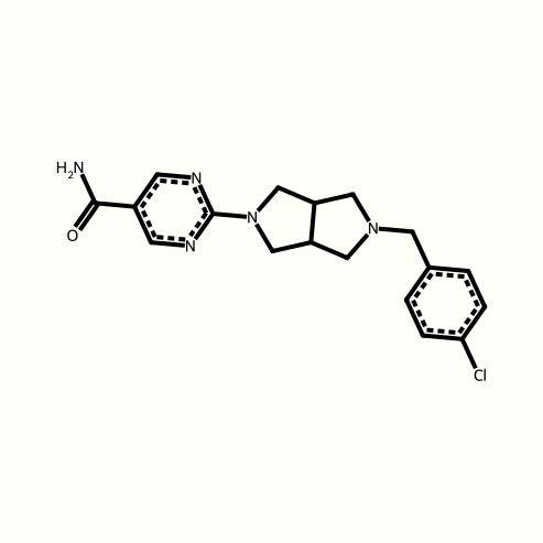 NC(=O)c1cnc(N2CC3CN(Cc4ccc(Cl)cc4)CC3C2)nc1